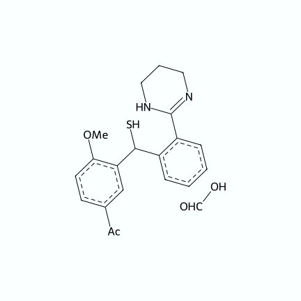 COc1ccc(C(C)=O)cc1C(S)c1ccccc1C1=NCCCN1.O=CO